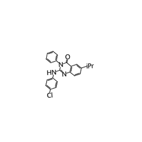 CC(C)c1ccc2nc(Nc3ccc(Cl)cc3)n(-c3ccccc3)c(=O)c2c1